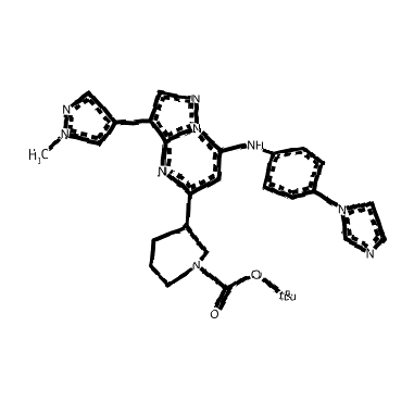 Cn1cc(-c2cnn3c(Nc4ccc(-n5ccnc5)cc4)cc(C4CCCN(C(=O)OC(C)(C)C)C4)nc23)cn1